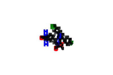 CC1OC(c2nn(-c3ccc(Br)cc3)cc2-c2ccc(F)cc2)N(CCc2ccc3[nH]c(=O)[nH]c3c2)C1=O